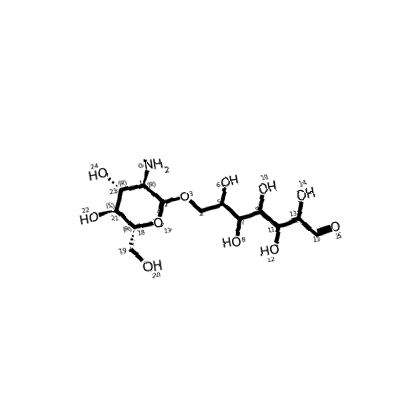 N[C@H]1C(OCC(O)C(O)C(O)C(O)C(O)C=O)O[C@H](CO)[C@@H](O)[C@@H]1O